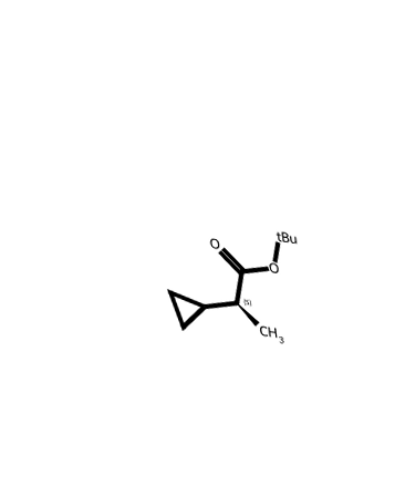 C[C@H](C(=O)OC(C)(C)C)C1CC1